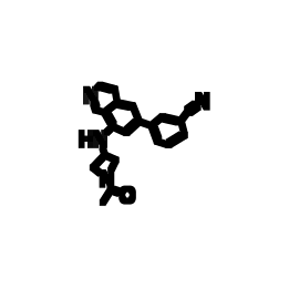 CC(=O)N1CC(Nc2cc(-c3cccc(C#N)c3)cc3ccncc23)C1